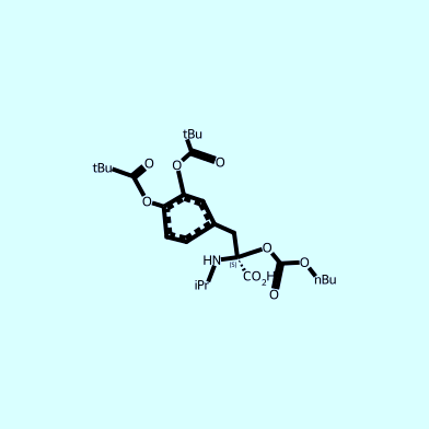 CCCCOC(=O)O[C@](Cc1ccc(OC(=O)C(C)(C)C)c(OC(=O)C(C)(C)C)c1)(NC(C)C)C(=O)O